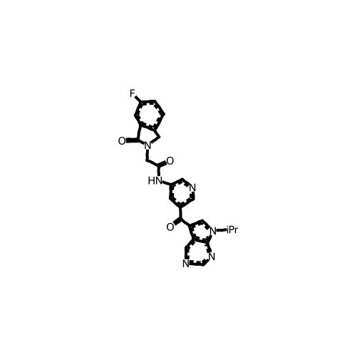 CC(C)n1cc(C(=O)c2cncc(NC(=O)CN3Cc4ccc(F)cc4C3=O)c2)c2cncnc21